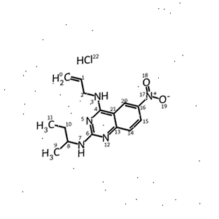 C=CCNc1nc(NC(C)CC)nc2ccc([N+](=O)[O-])cc12.Cl